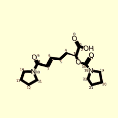 O=C(O)[C@H](CC/C=C/C(=O)N1CCCC1)OC(=O)N1CCCC1